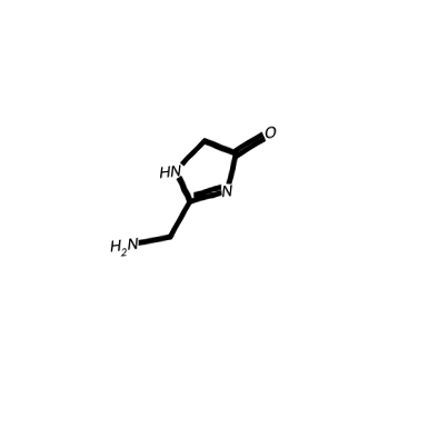 NCC1=NC(=O)CN1